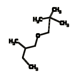 CCC(C)COCC(C)(C)C